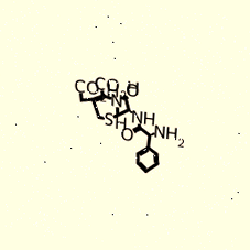 N[C@H](C(=O)N[C@@H]1C(=O)N2C(C(=O)O)=C(CC(=O)O)CS[C@@H]12)c1ccccc1